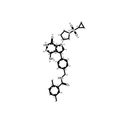 Cc1ccc(C)c(C(=O)NCc2ccc(-c3cn([C@@H]4CCN(S(=O)(=O)C5CC5)C4)c4c(=O)[nH]nc(N)c34)cc2)c1